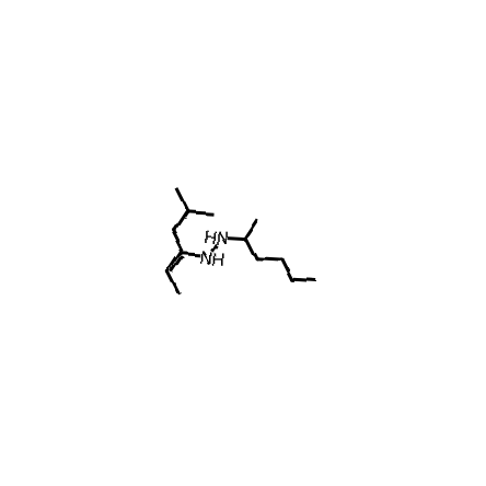 C/C=C(/CC(C)C)NNC(C)CCCC